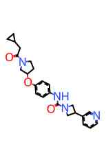 O=C(CC1CC1)N1CC[C@@H](Oc2ccc(NC(=O)N3CC(c4cccnc4)C3)cc2)C1